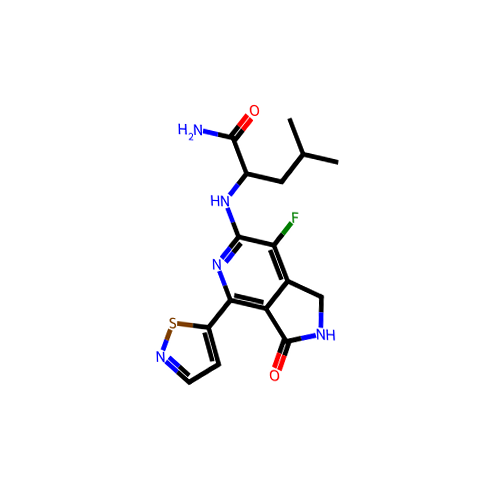 CC(C)CC(Nc1nc(-c2ccns2)c2c(c1F)CNC2=O)C(N)=O